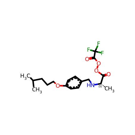 CC(C)CCCOc1ccc(CN[C@@H](C)C(=O)OOC(=O)C(F)(F)F)cc1